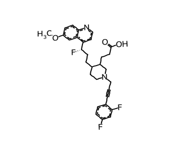 COc1ccc2nccc([C@@H](F)CCC3CCN(CC#Cc4ccc(F)cc4F)CC3CCC(=O)O)c2c1